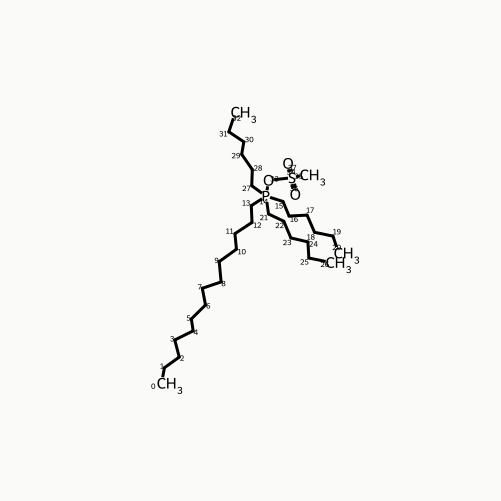 CCCCCCCCCCCCCCP(CCCCCC)(CCCCCC)(CCCCCC)OS(C)(=O)=O